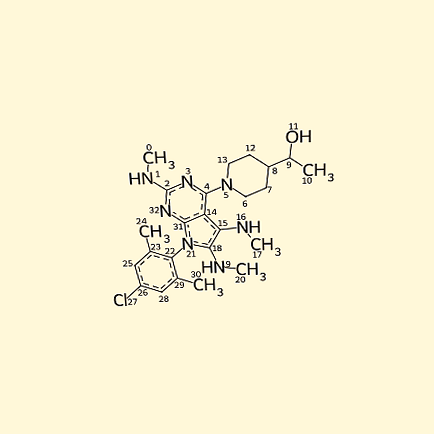 CNc1nc(N2CCC(C(C)O)CC2)c2c(NC)c(NC)n(-c3c(C)cc(Cl)cc3C)c2n1